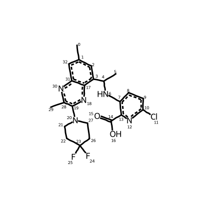 Cc1cc(C(C)Nc2ccc(Cl)nc2C(=O)O)c2nc(N3CCC(F)(F)CC3)c(C)nc2c1